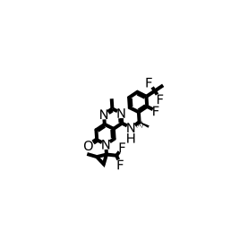 Cc1nc(N[C@H](C)c2cccc(C(C)(F)F)c2F)c2cn(C3(C(F)F)CC3C)c(=O)cc2n1